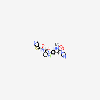 CCC(=O)N[C@@H](C(=O)N1CCN(C)CC1)[C@@H](C)c1ccc(NC(=O)[C@](C)(NC(=O)c2csc3cnccc23)C2CCCCC2)c(F)c1